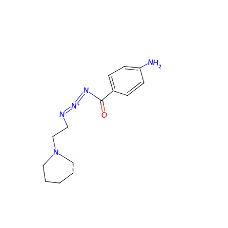 Nc1ccc(C(=O)N=[N+]=NCCN2CCCCC2)cc1